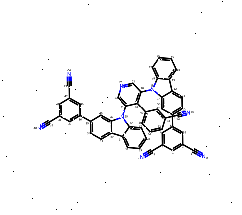 N#Cc1cc(C#N)cc(-c2ccc3c4ccccc4n(-c4cncc(-n5c6ccccc6c6ccc(-c7cc(C#N)cc(C#N)c7)cc65)c4-c4cccc(C#N)c4)c3c2)c1